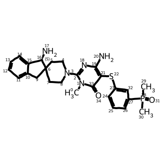 Cn1c(N2CCC3(CC2)Cc2ccccc2[C@H]3N)nc(N)c(Sc2cccc(P(C)(C)=O)c2)c1=O